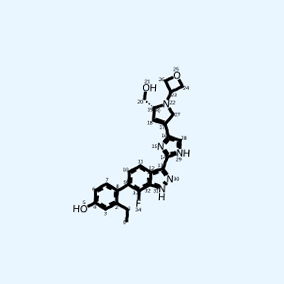 CCc1cc(O)ccc1-c1ccc2c(-c3nc(C4=C[C@H](CO)N(C5COC5)C4)c[nH]3)n[nH]c2c1F